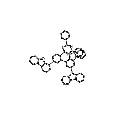 c1ccc(-c2nc(-c3ccccc3)nc(-c3ccc(-c4cccc5c4oc4ccccc45)cc3-c3cc(-n4c5ccccc5c5ccccc54)cc4c3sc3ccccc34)n2)cc1